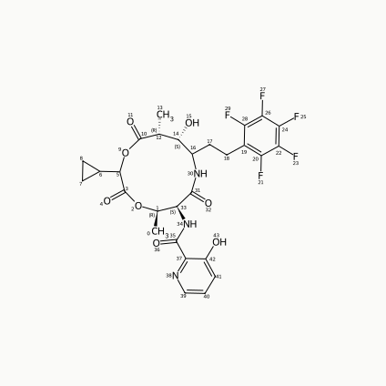 C[C@H]1OC(=O)C(C2CC2)OC(=O)[C@H](C)[C@H](O)C(CCc2c(F)c(F)c(F)c(F)c2F)NC(=O)[C@H]1NC(=O)c1ncccc1O